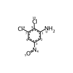 Nc1cc(N=O)cc(Cl)c1Cl